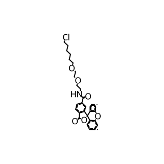 O=C(NCCOCCOCCCCCCCl)c1ccc2c(c1)C1(OC2=O)c2cc[c]cc2Oc2c[c]ccc21